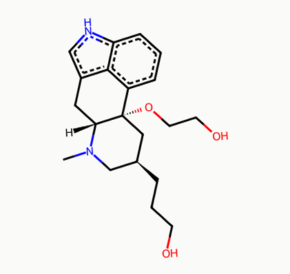 CN1C[C@H](CCCO)C[C@]2(OCCO)c3cccc4[nH]cc(c34)C[C@@H]12